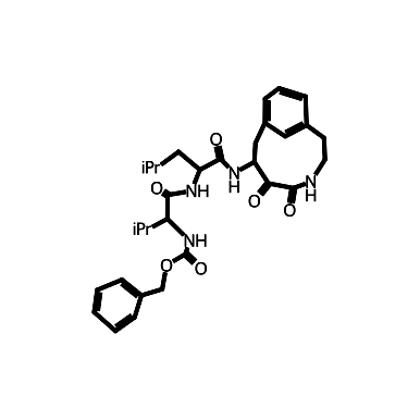 CC(C)CC(NC(=O)C(NC(=O)OCc1ccccc1)C(C)C)C(=O)NC1Cc2cccc(c2)CCNC(=O)C1=O